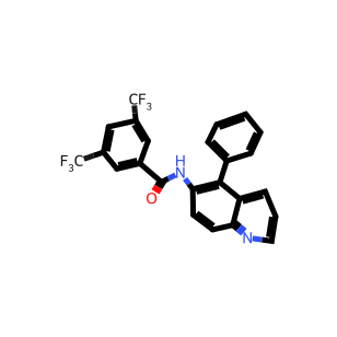 O=C(Nc1ccc2ncccc2c1-c1ccccc1)c1cc(C(F)(F)F)cc(C(F)(F)F)c1